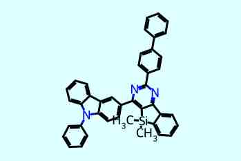 C[Si]1(C)c2ccccc2-c2nc(-c3ccc(-c4ccccc4)cc3)nc(-c3ccc4c(c3)c3ccccc3n4-c3ccccc3)c21